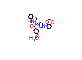 COc1ccc(C(=O)C(C2CCc3ccccc3N2)N2CCN(c3cccc4c3OCCO4)CC2)cc1